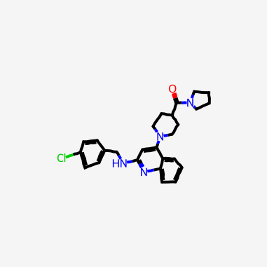 O=C(C1CCN(c2cc(NCc3ccc(Cl)cc3)nc3ccccc23)CC1)N1CCCC1